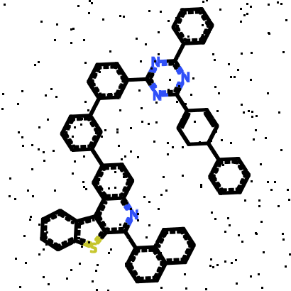 C1=CC(c2ccccc2)CC=C1c1nc(-c2ccccc2)nc(-c2cccc(-c3cccc(-c4ccc5nc(-c6cccc7ccccc67)c6sc7ccccc7c6c5c4)c3)c2)n1